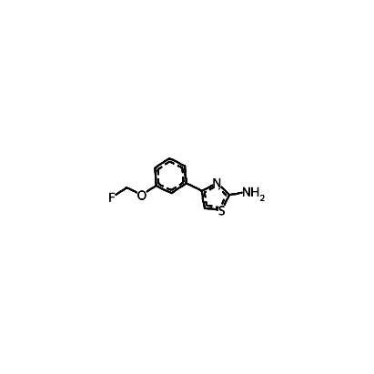 Nc1nc(-c2cccc(OCF)c2)cs1